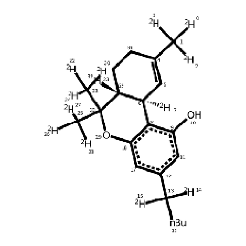 [2H]C([2H])([2H])C1=C[C@@]2([2H])c3c(O)cc(C([2H])([2H])CCCC)cc3OC(C([2H])([2H])[2H])(C([2H])([2H])[2H])[C@@H]2CC1